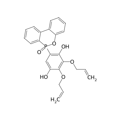 C=CCOc1c(O)cc(P2(=O)Oc3ccccc3-c3ccccc32)c(O)c1OCC=C